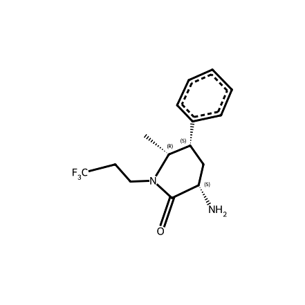 C[C@@H]1[C@H](c2ccccc2)C[C@H](N)C(=O)N1CCC(F)(F)F